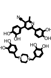 Cc1nc(-c2ccc(O)c(O)c2)cc(-c2ccc(O)c(O)c2)c1C#N.Oc1ccc(CN2CCN(Cc3ccc(O)c(O)c3)CC2)cc1O